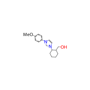 COc1ccc(N2C=CN(C3CCCCC3CO)C2)cc1